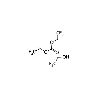 O=C(OCC(F)(F)F)OCC(F)(F)F.OCC(F)(F)F